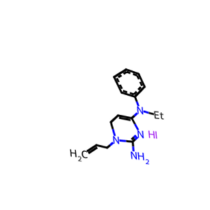 C=CCN1CC=C(N(CC)c2ccccc2)N=C1N.I